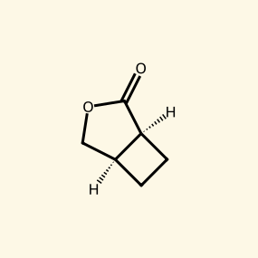 O=C1OC[C@@H]2CC[C@H]12